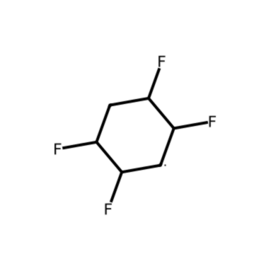 FC1[CH]C(F)C(F)CC1F